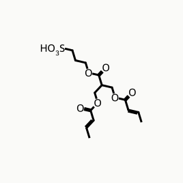 CC=CC(=O)OCC(COC(=O)C=CC)C(=O)OCCCS(=O)(=O)O